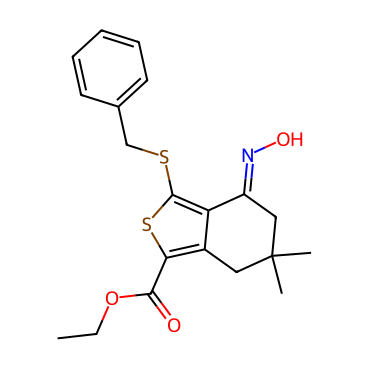 CCOC(=O)c1sc(SCc2ccccc2)c2c1CC(C)(C)C/C2=N\O